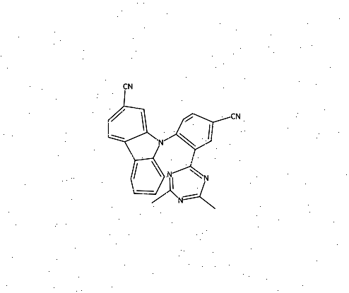 Cc1nc(C)nc(-c2cc(C#N)ccc2-n2c3ccccc3c3ccc(C#N)cc32)n1